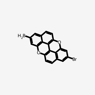 Bc1cc2ccc3oc4cc(Br)cc5ccc6oc(c1)c2c3-c6c54